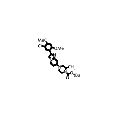 COc1cc(OC)c(-c2cn3ccc(N4CCN(C(=O)OC(C)(C)C)C(C)C4)cc3n2)cc1Cl